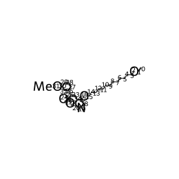 C=COCCCCCCCCCCCCCOc1cncc2oc(=O)c(-c3cccc(OC)c3)cc12